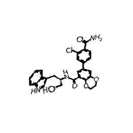 NC(=O)c1ccc(-c2cc3c(c(C(=O)N[C@@H](CO)Cc4c[nH]c5ccccc45)c2)OCCO3)cc1Cl